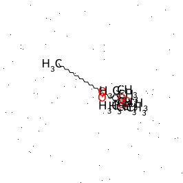 CCCCCCCCCCCCCCCCCCOC(=O)CCc1cc(C(C)(C)C)c(OC(=O)OC(C)(C)C)c(C(C)(C)C)c1